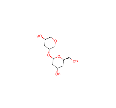 OC[C@H]1C[C@@H](O)C[C@@H](O[C@@H]2COC[C@H](O)C2)O1